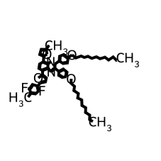 CCCCCCCCCCCCOc1ccc(-c2nc3c(-c4ccc(C)o4)ccc(-c4ccc(-c5cc(F)c(C)cc5F)o4)c3nc2-c2ccc(OCCCCCCCCCCCC)cc2)cc1